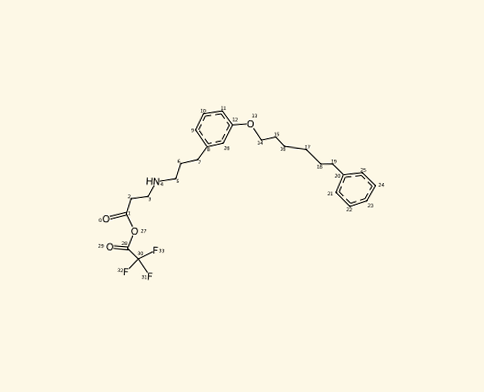 O=C(CCNCCCc1cccc(OCCCCCCc2ccccc2)c1)OC(=O)C(F)(F)F